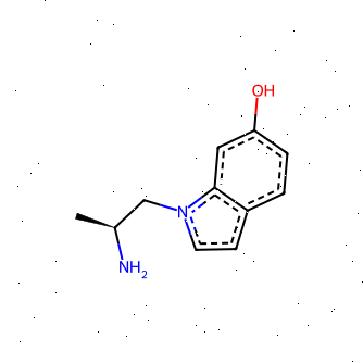 C[C@H](N)Cn1ccc2ccc(O)cc21